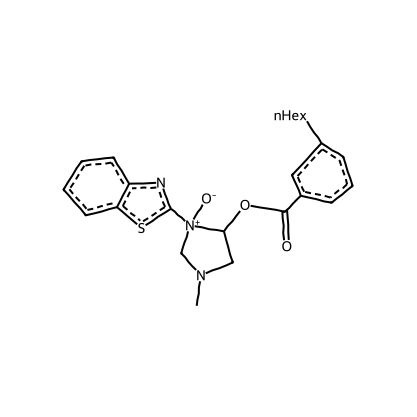 CCCCCCc1cccc(C(=O)OC2CN(C)C[N+]2([O-])c2nc3ccccc3s2)c1